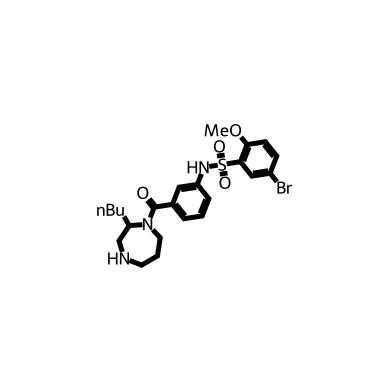 CCCCC1CNCCCN1C(=O)c1cccc(NS(=O)(=O)c2cc(Br)ccc2OC)c1